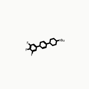 CCCCC1CCC(C2=CCC(c3cc(F)c(F)c(F)c3)C=C2)CC1